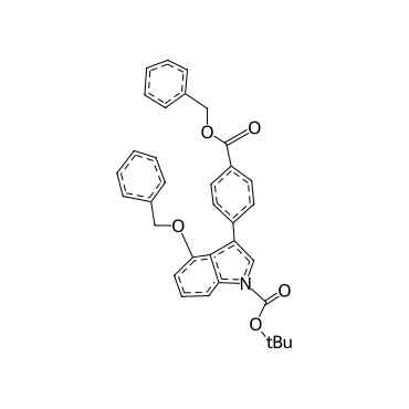 CC(C)(C)OC(=O)n1cc(-c2ccc(C(=O)OCc3ccccc3)cc2)c2c(OCc3ccccc3)cccc21